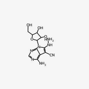 N#Cc1c(NN)n(C2OC(CO)C(O)C2O)c2ncnc(N)c12